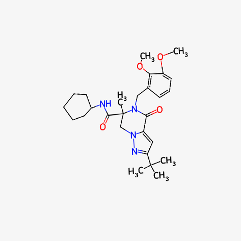 COc1cccc(CN2C(=O)c3cc(C(C)(C)C)nn3CC2(C)C(=O)NC2CCCCC2)c1OC